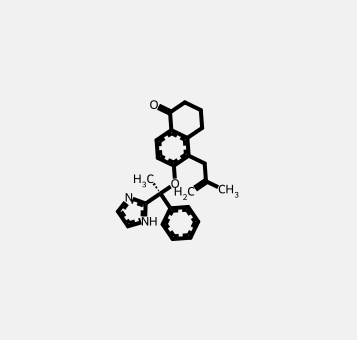 C=C(C)Cc1c(O[C@@](C)(c2ccccc2)c2ncc[nH]2)ccc2c1CCCC2=O